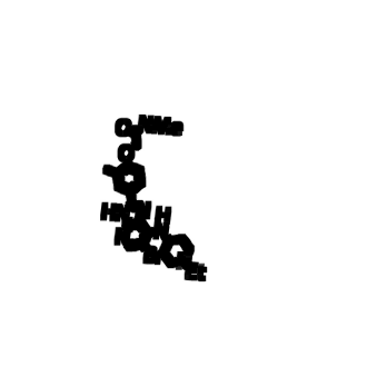 CCN1CCC(Nc2c(Br)cnc3[nH]c(-c4ccc(OCC(=O)NC)c(C)c4)nc23)CC1